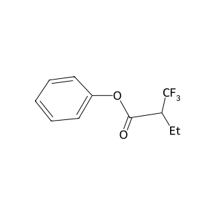 CCC(C(=O)Oc1ccccc1)C(F)(F)F